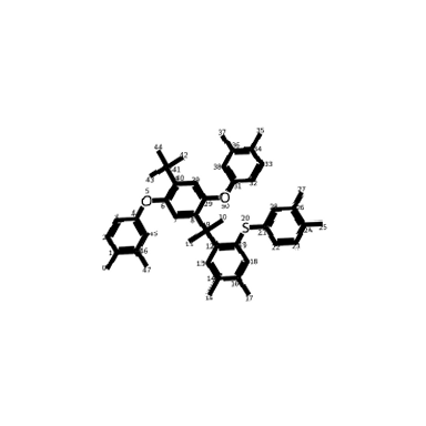 Cc1ccc(Oc2cc(C(C)(C)c3cc(C)c(C)cc3Sc3ccc(C)c(C)c3)c(Oc3ccc(C)c(C)c3)cc2C(C)(C)C)cc1C